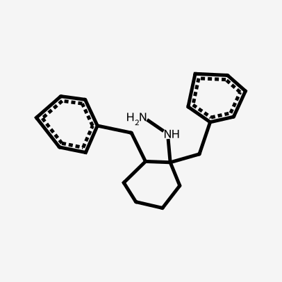 NNC1(Cc2ccccc2)CCCCC1Cc1ccccc1